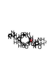 C[C@H]1[C@H]2OP(=O)(O)OC[C@H]3C[C@@H](Nc4ncnc5ccnn45)C[C@@H]3OP(=O)(O)OC[C@H]1O[C@H]2n1cnc2c(=O)[nH]c(N)nc21